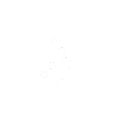 CC(C)(C)C[C@]1(c2ccc(-c3cnn(C(F)F)c3)cc2)NC(=N)N([C@H](COC(=O)NC2CCC2)c2ccc(Cl)c(-n3ncnc3C(F)F)c2)C1=O